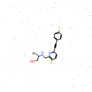 CC(C)[C@H](CO)NCc1nc(C#Cc2ccc(F)cc2)ccc1F